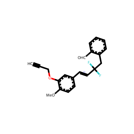 C#CCOc1cc(/C=C/C(F)(F)Cc2ccccc2C=O)ccc1OC